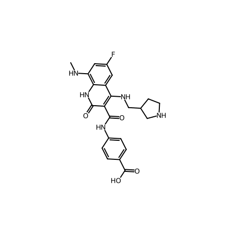 CNc1cc(F)cc2c(NCC3CCNC3)c(C(=O)Nc3ccc(C(=O)O)cc3)c(=O)[nH]c12